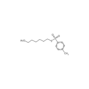 CC(=O)OCCCCCCSS(=O)(=O)c1ccc(C)cc1